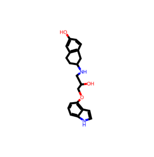 Oc1ccc2c(c1)CCC(NCC(O)COc1cccc3[nH]ccc13)C2